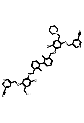 Cc1c(COc2cc(OCc3cncc(C#N)c3)c(CO)cc2Cl)cccc1-c1cccc(COc2cc(OCc3cncc(C#N)c3)c(CN3CCCCC3)cc2Cl)c1C